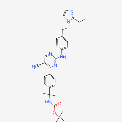 CCc1nccn1CCc1ccc(Nc2ncc(C#N)c(-c3ccc(C(C)(C)NC(=O)OC(C)(C)C)cc3)n2)cc1